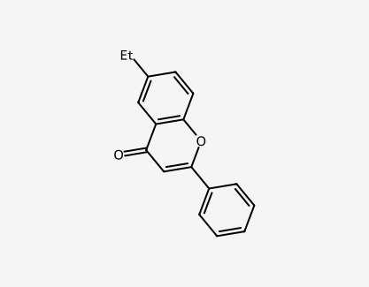 CCc1ccc2oc(-c3ccccc3)cc(=O)c2c1